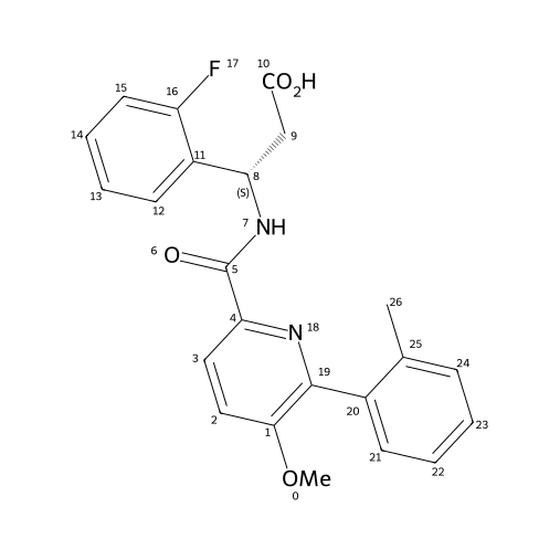 COc1ccc(C(=O)N[C@@H](CC(=O)O)c2ccccc2F)nc1-c1ccccc1C